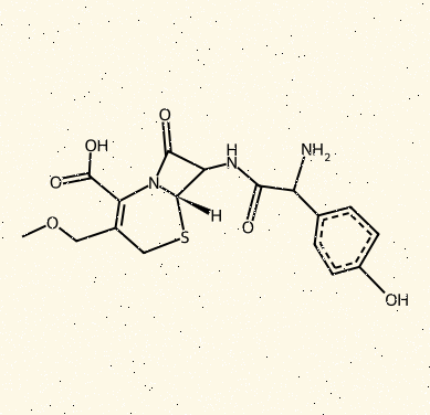 COCC1=C(C(=O)O)N2C(=O)C(NC(=O)C(N)c3ccc(O)cc3)[C@@H]2SC1